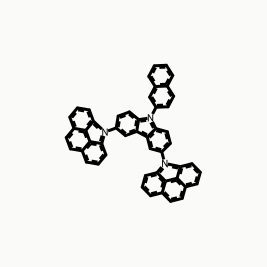 c1ccc2cc(-n3c4ccc(-n5c6cccc7ccc8cccc5c8c76)cc4c4cc(-n5c6cccc7ccc8cccc5c8c76)ccc43)ccc2c1